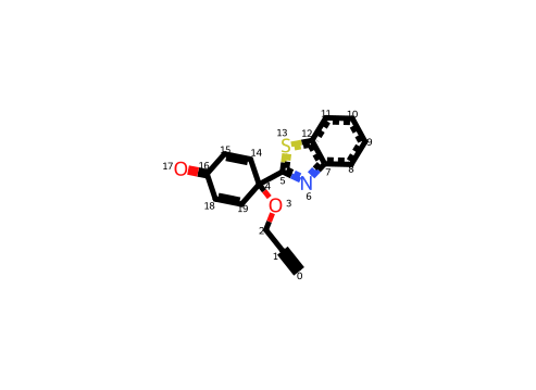 C#CCOC1(c2nc3ccccc3s2)C=CC(=O)C=C1